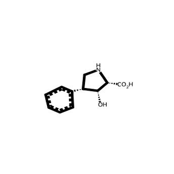 O=C(O)[C@H]1NC[C@@H](c2ccccc2)[C@H]1O